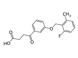 Cc1cccc(F)c1COc1cccc(C(=O)CCC(=O)O)c1